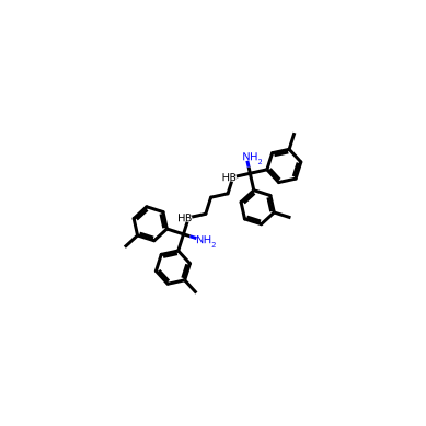 Cc1cccc(C(N)(BCCCBC(N)(c2cccc(C)c2)c2cccc(C)c2)c2cccc(C)c2)c1